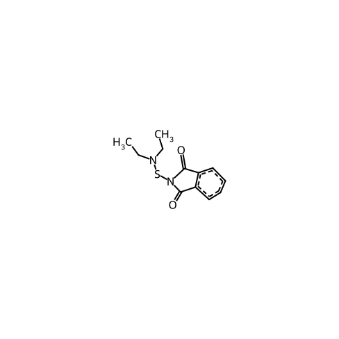 CCN(CC)SN1C(=O)c2ccccc2C1=O